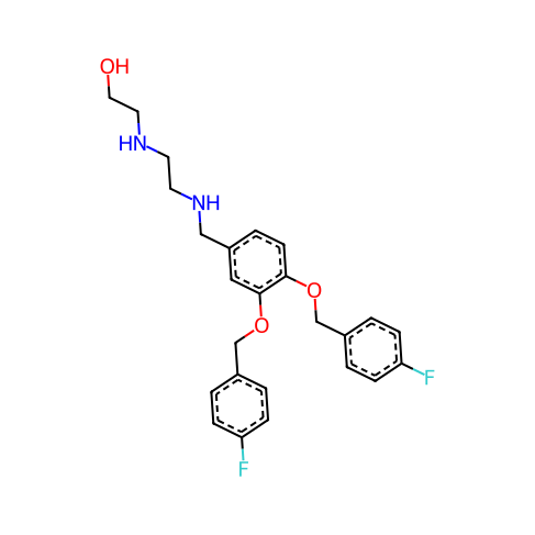 OCCNCCNCc1ccc(OCc2ccc(F)cc2)c(OCc2ccc(F)cc2)c1